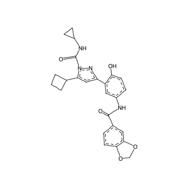 O=C(Nc1ccc(O)c(-c2cc(C3CCC3)n(C(=O)NC3CC3)n2)c1)c1ccc2c(c1)OCO2